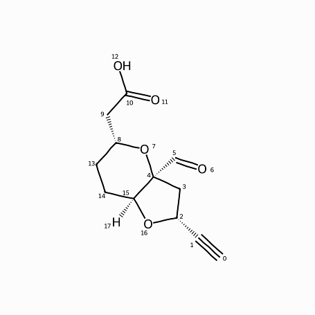 C#C[C@H]1C[C@]2(C=O)O[C@@H](CC(=O)O)CC[C@@H]2O1